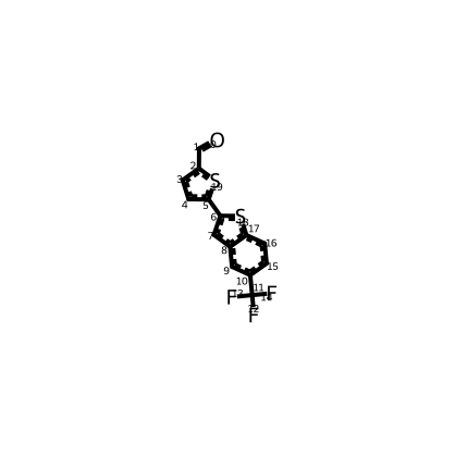 O=Cc1ccc(-c2cc3cc(C(F)(F)F)ccc3s2)s1